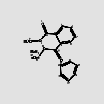 CCCCCCCCOC(=O)c1ccccc1C(=O)OCCCCCCCC.[BaH2].c1ccccc1